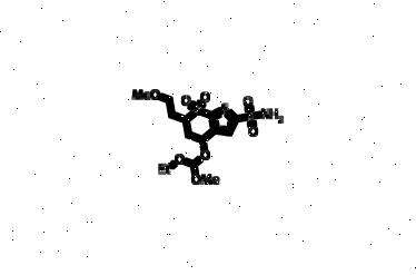 CCOC(OC)OC1CC(CCOC)S(=O)(=O)c2sc(S(N)(=O)=O)cc21